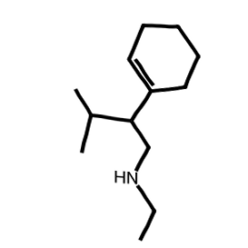 CCNCC(C1=CCCCC1)C(C)C